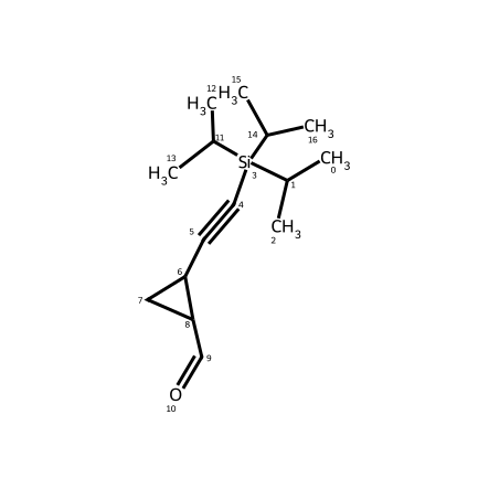 CC(C)[Si](C#CC1CC1C=O)(C(C)C)C(C)C